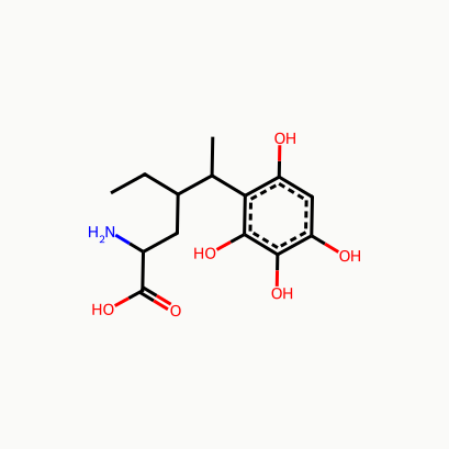 CCC(CC(N)C(=O)O)C(C)c1c(O)cc(O)c(O)c1O